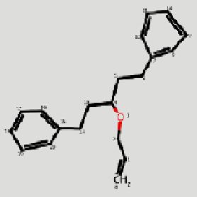 C=CCOC(CCc1ccccc1)CCc1ccccc1